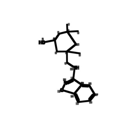 CC1(C)CC(O)CC(C)(CNc2noc3ccccc23)C1